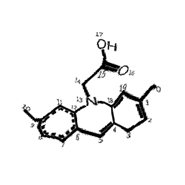 CC1=CCC2=Cc3ccc(C)cc3N(CC(=O)O)C2=C1